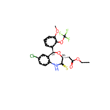 CCOC(=O)C[C@H]1O[C@H](c2cccc(OC)c2OC(F)(F)F)c2cc(Cl)ccc2NC1=S